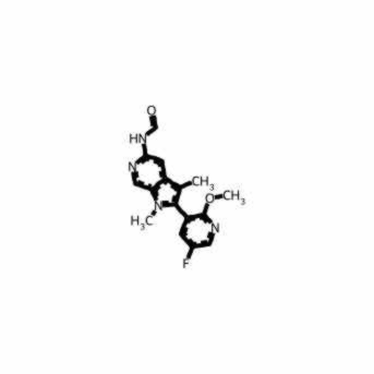 COc1ncc(F)cc1-c1c(C)c2cc(NC=O)ncc2n1C